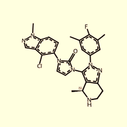 Cc1cc(-n2nc3c(c2-n2ccn(-c4ccc5c(cnn5C)c4Cl)c2=O)[C@H](C)NCC3)cc(C)c1F